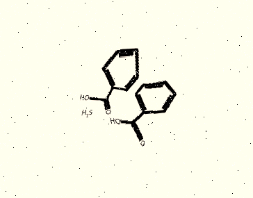 O=C(O)c1ccccc1.O=C(O)c1ccccc1.S